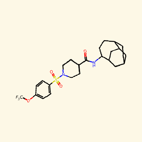 O=C(NC1CCC2CC3CC2CC1C3)C1CCN(S(=O)(=O)c2ccc(OC(F)(F)F)cc2)CC1